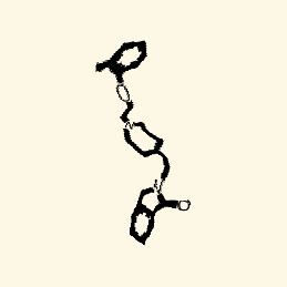 Cc1ccccc1OCCN1CCC(CN2Cc3ccccc3C2=O)CC1